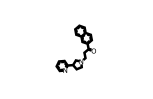 O=C(CCN1CCC(c2ccccn2)C1)c1ccc2ccccc2c1